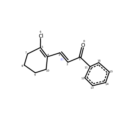 O=C(/C=C/C1=C(Cl)CCCC1)c1ccccc1